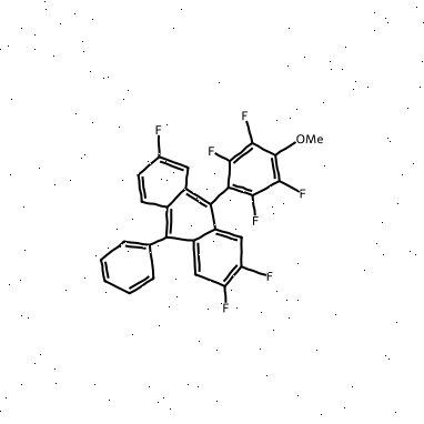 COc1c(F)c(F)c(-c2c3cc(F)ccc3c(-c3ccccc3)c3cc(F)c(F)cc23)c(F)c1F